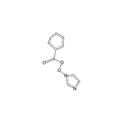 O=C(OOn1ccnc1)c1ccccc1